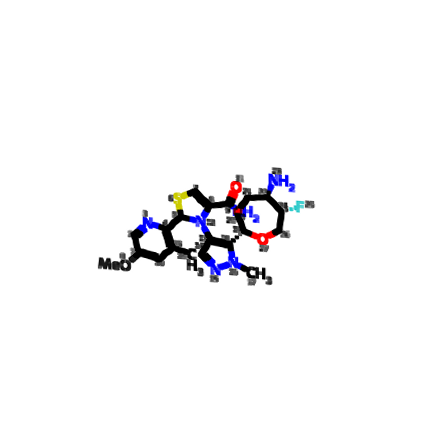 COc1cnc(C2SC=C(C(N)=O)N2c2cnn(C)c2[C@@H]2CC[C@@H](N)[C@H](F)CO2)c(C)c1